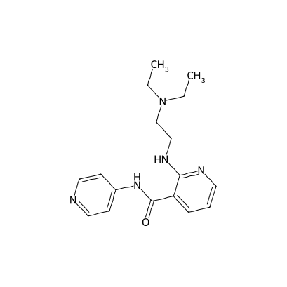 CCN(CC)CCNc1ncccc1C(=O)Nc1ccncc1